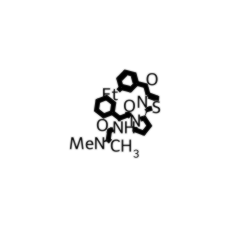 CCc1cccc(C(=O)c2csc([C@@H]3CCCN3C(=O)[C@@H](NC(=O)[C@H](C)NC)C3CCCCC3)n2)c1